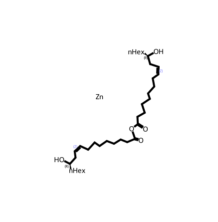 CCCCCC[C@@H](O)C/C=C\CCCCCCCC(=O)OC(=O)CCCCCCC/C=C\C[C@H](O)CCCCCC.[Zn]